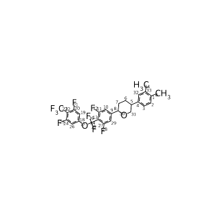 Cc1ccc(C2CCC(c3cc(F)c(C(F)(F)Oc4cc(F)c(C(F)(F)F)c(F)c4)c(F)c3)OC2)cc1C